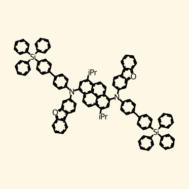 CC(C)c1cc(N(c2ccc(-c3ccc([Si](c4ccccc4)(c4ccccc4)c4ccccc4)cc3)cc2)c2ccc3c(c2)oc2ccccc23)c2ccc3c(C(C)C)cc(N(c4ccc(-c5ccc([Si](c6ccccc6)(c6ccccc6)c6ccccc6)cc5)cc4)c4ccc5c(c4)oc4ccccc45)c4ccc1c2c34